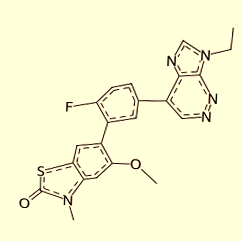 CCn1cnc2c(-c3ccc(F)c(-c4cc5sc(=O)n(C)c5cc4OC)c3)cnnc21